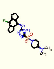 CN(C)C1CCN(S(=O)(=O)c2nnc(Nc3c4c(c(F)c5c3CCC5)CCC4)[nH]2)CC1